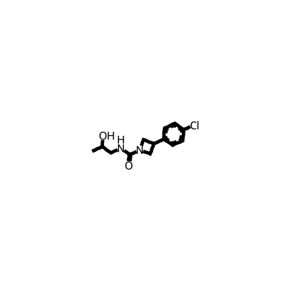 CC(O)CNC(=O)N1CC(c2ccc(Cl)cc2)C1